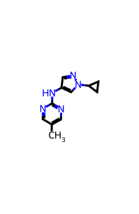 Cc1cnc(Nc2cnn(C3CC3)c2)nc1